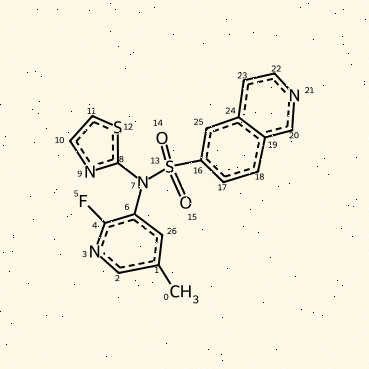 Cc1cnc(F)c(N(c2nccs2)S(=O)(=O)c2ccc3cnccc3c2)c1